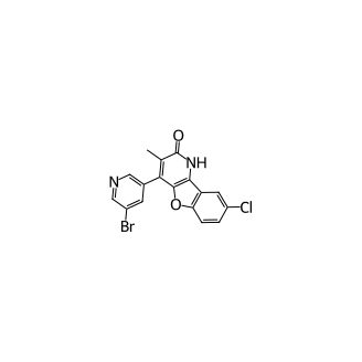 Cc1c(-c2cncc(Br)c2)c2oc3ccc(Cl)cc3c2[nH]c1=O